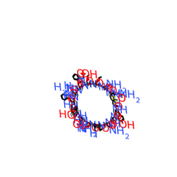 CCCC[C@H]1C(=O)N(C)[C@@H](CCCC)C(=O)N[C@@H](CCN)C(=O)N[C@H](C(=O)NCC(N)=O)CSCC(=O)N[C@@H](Cc2ccc(O)cc2)C(=O)N(C)[C@@H](C)C(=O)N[C@@H](CC(N)=O)C(=O)N2CCC[C@H]2C(=O)N[C@@H](Cc2cnc[nH]2)C(=O)N[C@@H](CCC(N)=O)C(=O)N2C[C@H](O)C[C@H]2C(=O)N[C@@H](Cc2c[nH]c3ccccc23)C(=O)N[C@@H](CCN)C(=O)N[C@@H](Cc2cn(CC(=O)O)c3ccccc23)C(=O)N1C